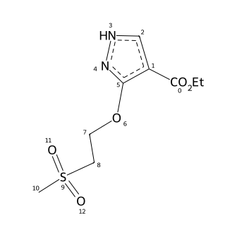 CCOC(=O)c1c[nH]nc1OCCS(C)(=O)=O